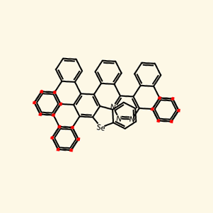 c1ccc(-c2ccccc2-c2c(-c3ccccc3)nnnc2-c2ccccc2-c2c(-c3ccccc3-c3ccccc3)c(-c3ccccc3-c3ccccc3)c(-c3ccccc3)c3[se]c4ccccc4c23)cc1